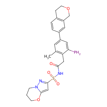 Cc1cc(-c2ccc3c(c2)COCC3)cc(P)c1CC(=O)NS(=O)(=O)c1cc2n(n1)CCCO2